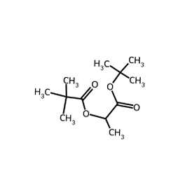 CC(OC(=O)C(C)(C)C)C(=O)OC(C)(C)C